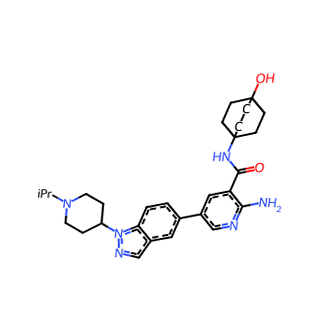 CC(C)N1CCC(n2ncc3cc(-c4cnc(N)c(C(=O)NC56CCC(O)(CC5)CC6)c4)ccc32)CC1